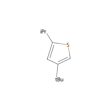 CC(C)c1cc(C(C)(C)C)cs1